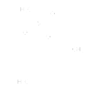 Cc1cccc(C)c1COS(C)(=O)=O